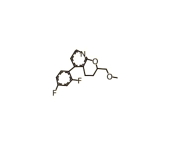 COCC1CCc2c(-c3ccc(F)cc3F)ccnc2O1